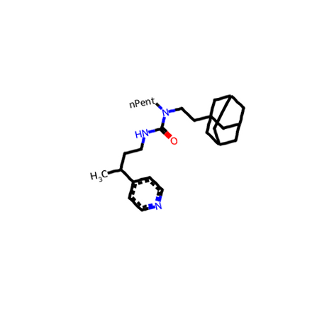 CCCCCN(CCC12CC3CC(CC(C3)C1)C2)C(=O)NCCC(C)c1ccncc1